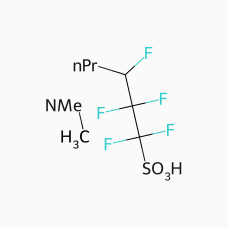 CCCC(F)C(F)(F)C(F)(F)S(=O)(=O)O.CNC